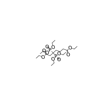 CCOC(=O)CCCC(CC(=O)OCC)(P(=O)(OCC)OCC)P(=O)(OCC)OCC